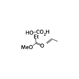 C=CC.CCC(=O)OC.O=C(O)O